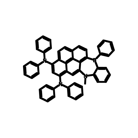 CN1c2ccccc2B(c2ccccc2)c2ccc3ccc4c(N(c5ccccc5)c5ccccc5)cc(N(c5ccccc5)c5ccccc5)c5cc1c2c3c45